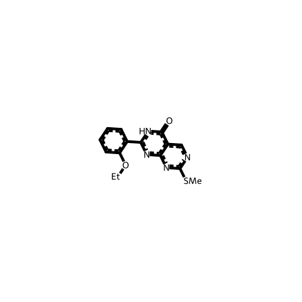 CCOc1ccccc1-c1nc2nc(SC)ncc2c(=O)[nH]1